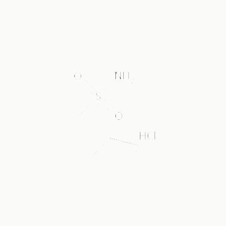 CCC.CS(N)(=O)=O.Cl